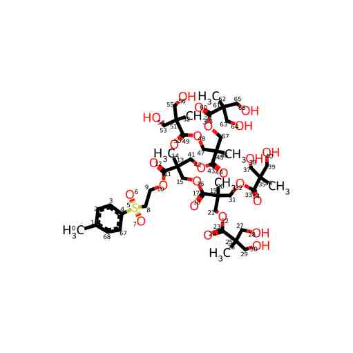 Cc1ccc(S(=O)(=O)CCOC(=O)C(C)(COC(=O)C(C)(COC(=O)C(C)(CO)CO)COC(=O)C(C)(CO)CO)COC(=O)C(C)(COC(=O)C(C)(CO)CO)COC(=O)C(C)(CO)CO)cc1